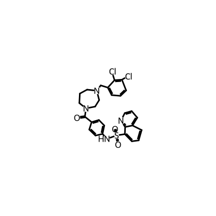 O=C(c1ccc(NS(=O)(=O)c2cccc3cccnc23)cc1)N1CCCN(Cc2cccc(Cl)c2Cl)CC1